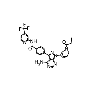 CCC(=O)N1CC2CC1C(n1nc(-c3ccc(C(=O)Nc4cc(C(F)(F)F)ccn4)cc3)c3c(N)ncnc31)C2